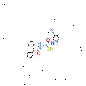 N#Cc1cccc(NC(=O)N(S)CCNC(=O)C(c2ccccc2)c2ccccc2)c1